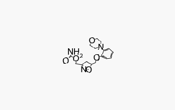 NC(=O)OCC1=NOC(COc2ccccc2N2CCOCC2)C1